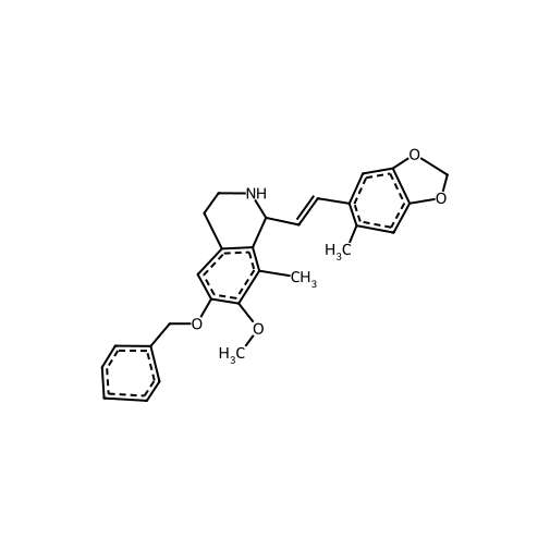 COc1c(OCc2ccccc2)cc2c(c1C)C(/C=C/c1cc3c(cc1C)OCO3)NCC2